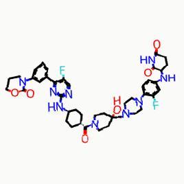 O=C1CCC(Nc2ccc(N3CCN(CC4(O)CCN(C(=O)[C@H]5CC[C@H](Nc6ncc(F)c(-c7cccc(N8CCCOC8=O)c7)n6)CC5)CC4)CC3)c(F)c2)C(=O)N1